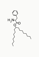 CCCCCCCCC(CCCCCCCC)OC(=O)[C@@H](N)Cc1ccccc1